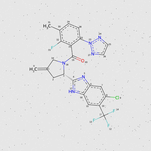 C=C1C[C@@H](c2nc3cc(Cl)c(C(F)(F)F)cc3[nH]2)N(C(=O)c2c(-n3nccn3)ccc(C)c2F)C1